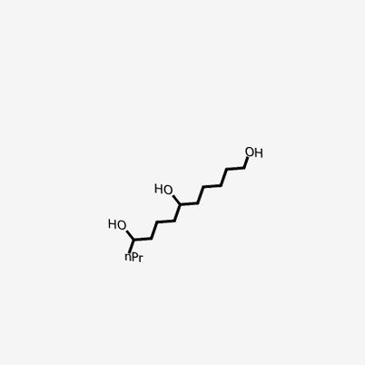 CCCC(O)CCCC(O)CCCCCO